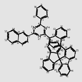 c1ccc(-c2nc(-c3ccc4ccccc4c3)nc(-c3ccc(-c4cccc5c4C4(c6ccccc6-c6ccccc64)c4ccccc4-5)c4ccccc34)n2)cc1